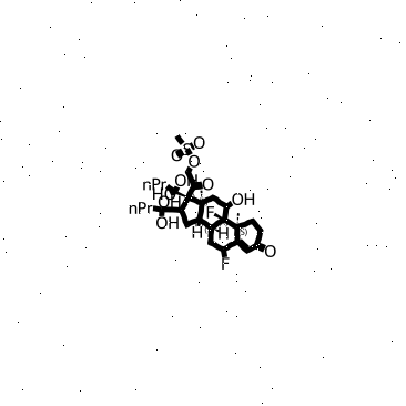 CCCC(O)(O)C1C[C@H]2[C@@H]3CC(F)C4=CC(=O)CC[C@]4(C)[C@@]3(F)C(O)C[C@]2(C)[C@]1(C(=O)COS(C)(=O)=O)C(O)(O)CCC